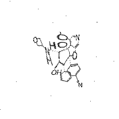 COc1cncc2c1[C@]1(O)[C@@H](CNC3COC3)[C@H](CO)[C@@H](C3C=CC=CC3)[C@]1(c1ccc(C#N)cc1)O2